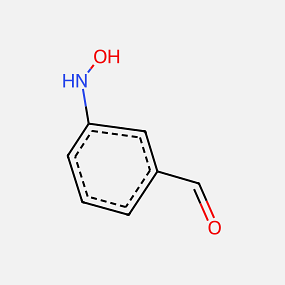 O=Cc1cccc(NO)c1